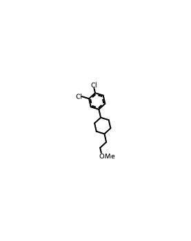 COCCC1CCC(c2ccc(Cl)c(Cl)c2)CC1